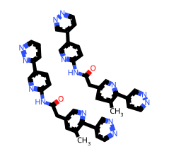 Cc1cc(CC(=O)Nc2ccc(-c3cccnn3)cn2)cnc1-c1ccnnc1.Cc1cc(CC(=O)Nc2ccc(-c3ccnnc3)cn2)cnc1-c1ccnnc1